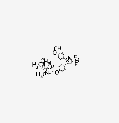 COc1ccc(-n2nc(C(F)(F)F)cc2-c2ccc(OCCN(C)C(=O)OC(C)(C)C)cc2)cc1